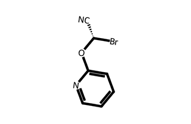 N#C[C@H](Br)Oc1ccccn1